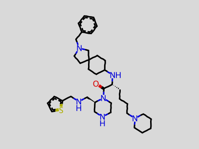 O=C([C@@H](CCCCN1CCCCC1)NC1CCC2(CC1)CCN(Cc1ccccc1)C2)N1CCNC[C@H]1CNCc1cccs1